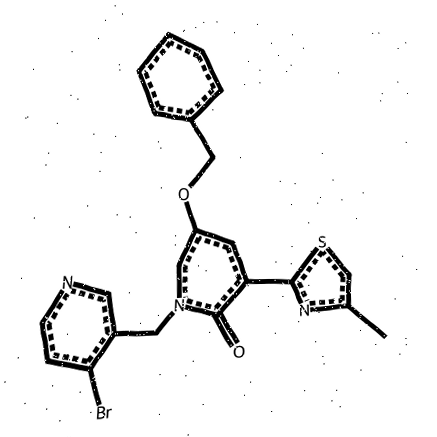 Cc1csc(-c2cc(OCc3ccccc3)cn(Cc3cnccc3Br)c2=O)n1